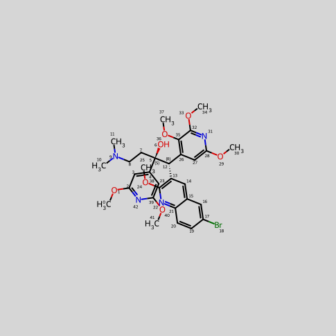 COc1cc([C@](O)(CCN(C)C)[C@@H](c2cc3cc(Br)ccc3nc2OC)c2cc(OC)nc(OC)c2OC)cc(OC)n1